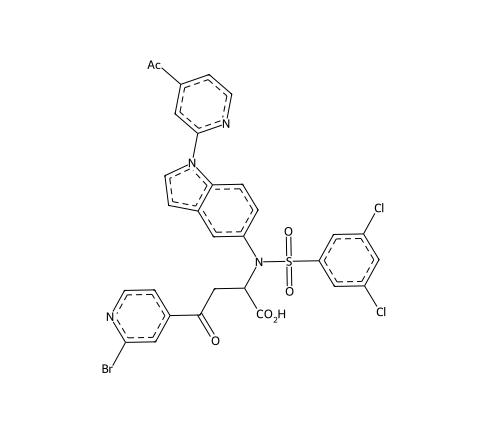 CC(=O)c1ccnc(-n2ccc3cc(N(C(CC(=O)c4ccnc(Br)c4)C(=O)O)S(=O)(=O)c4cc(Cl)cc(Cl)c4)ccc32)c1